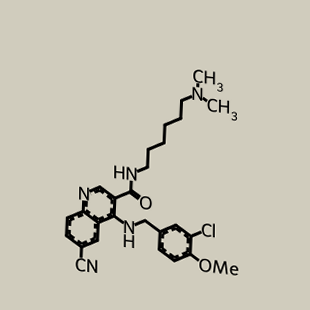 COc1ccc(CNc2c(C(=O)NCCCCCCN(C)C)cnc3ccc(C#N)cc23)cc1Cl